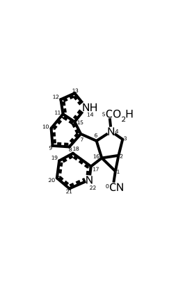 N#CC1C2CN(C(=O)O)C(c3cccc4cc[nH]c34)C12c1ccccn1